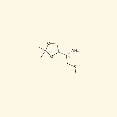 CSC[C@@H](N)C1COC(C)(C)O1